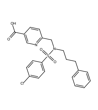 O=C(O)c1ccc(CN(CCCc2ccccc2)S(=O)(=O)c2ccc(Cl)cc2)nc1